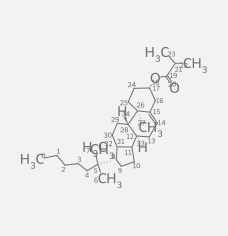 CCCCCC(C)(C)[C@H]1CCC2[C@@H]3CC=C4C[C@@H](OC(=O)C(C)C)CC[C@]4(C)[C@H]3CC[C@@]21C